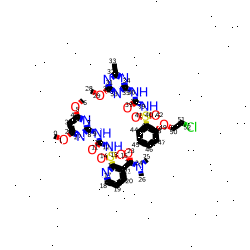 COc1cc(OC)nc(NC(=O)NS(=O)(=O)c2ncccc2C(=O)N(C)C)n1.COc1nc(C)nc(NC(=O)NS(=O)(=O)c2ccccc2OCCCl)n1